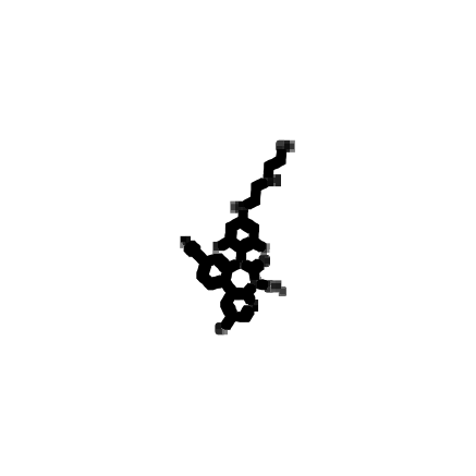 CN1C(=O)N(c2c(F)cc(NCCNCCO)cc2F)c2cc(C#N)ccc2-c2cc(Cl)cnc21